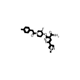 Cc1ccc(CC(=O)N2CC[C@H](Oc3nnc(-c4cnn(C)c4)cc3C(N)=O)[C@H](F)C2)cc1